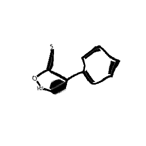 S=c1o[nH][c]c1-c1ccccc1